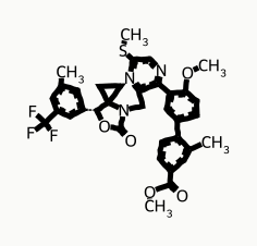 COC(=O)c1ccc(-c2ccc(OC)c(-c3ncc(SC)nc3CN3C(=O)O[C@H](c4cc(C)cc(C(F)(F)F)c4)C34CC4)c2)c(C)c1